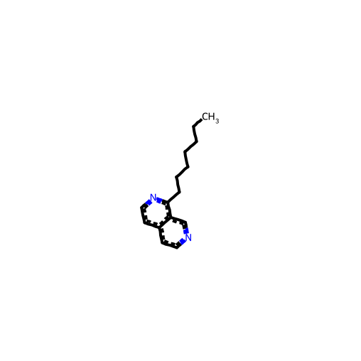 CCCCCCCc1nccc2ccncc12